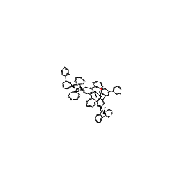 c1ccc(-c2cccc([Si](c3ccccc3)(c3ccccc3)c3cc(-c4ccccc4)c(-n4c5ccc(-c6ccccc6)cc5c5cc(-n6c7ccccc7c7ccccc76)ccc54)c(-c4ccccc4)c3)c2)cc1